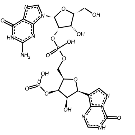 Nc1nc2c(ncn2[C@@H]2O[C@H](CO)[C@H](O)[C@@H]2OP(=O)(O)OC[C@H]2O[C@@H](c3cnn4c(=O)[nH]cnc34)[C@@H](O)[C@H]2O[PH](=O)O)c(=O)[nH]1